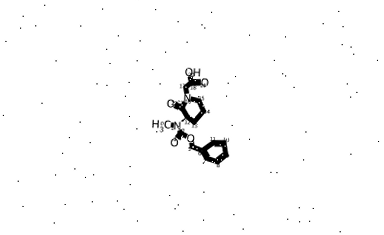 CN(C(=O)OCc1ccccc1)[C@H]1CCCN(CC(=O)O)C1=O